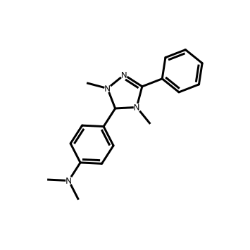 CN(C)c1ccc(C2N(C)N=C(c3ccccc3)N2C)cc1